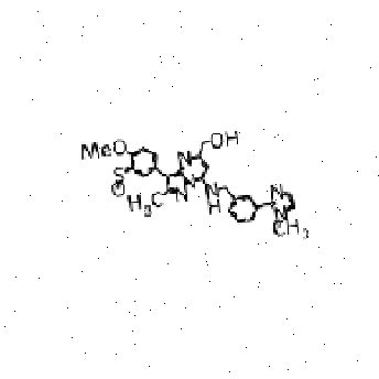 COc1ccc(-c2c(C)nn3c(NCc4cccc(-c5nccn5C)c4)cc(CO)nc23)cc1[S+]=O